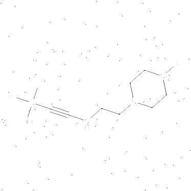 CC(=O)N1CCN(CCNC#C[Si](C(C)C)(C(C)C)C(C)C)CC1